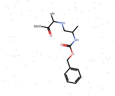 CCCC(NCC(C)NC(=O)OCc1ccccc1)C(=O)OC